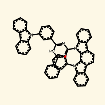 c1ccc(C2N=C(n3c4ccccc4c4ccc5c6ccccc6n(-c6ccccc6)c5c43)N=C(c3cccc(-n4c5ccccc5c5ccccc54)c3)N2)cc1